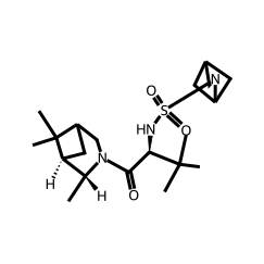 C[C@@H]1[C@@H]2CC(CN1C(=O)[C@@H](NS(=O)(=O)N1CC3CC1C3)C(C)(C)C)C2(C)C